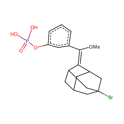 COC(=C1C2CC3CC1CC(Br)(C3)C2)c1cccc(OP(=O)(O)O)c1